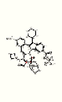 COc1ccc2c(c1)C=C(c1c(C(=O)N3C4CCC3CC(C)(O)C4)cnn1C1CCC1)Cn1c-2c(C2CCCCC2)c2ccc(C(=O)NS(=O)(=O)C(C)C)cc21